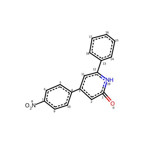 O=c1cc(-c2ccc([N+](=O)[O-])cc2)cc(-c2ccccc2)[nH]1